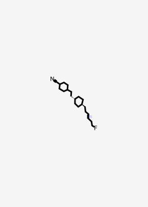 N#CC1CCC(CC[C@H]2CC[C@H](CC/C=C/CCF)CC2)CC1